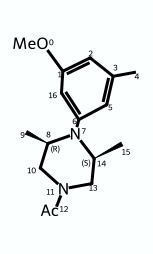 COc1cc(C)cc(N2[C@H](C)CN(C(C)=O)C[C@@H]2C)c1